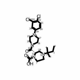 CCC(C)(C)N1CCN(C(=O)O)[C@H](C(=O)N2CCN(c3ccc(Cl)c(Cl)c3)CC2)C1